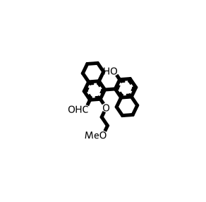 COCCOc1c(C=O)cc2c(c1-c1c(O)ccc3c1CCCC3)CCCC2